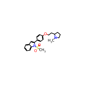 CN1CCCC1CCOc1ccc(-c2cc3ccccc3n2S(C)(=O)=O)cc1